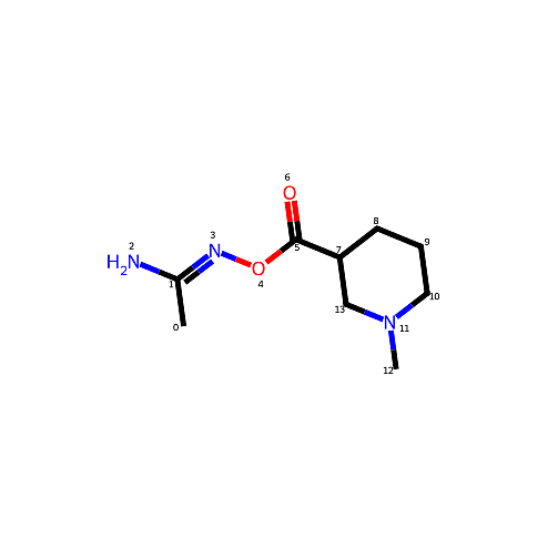 C/C(N)=N\OC(=O)C1CCCN(C)C1